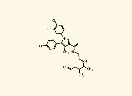 C=CCC(C)C(C)NCCNC(=O)c1cn(-c2ccc(Cl)c(Cl)c2)c(-c2ccc(Cl)cc2)c1C